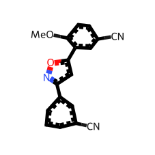 COc1ccc(C#N)cc1-c1cc(-c2cccc(C#N)c2)no1